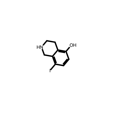 Oc1ccc(I)c2c1CCNC2